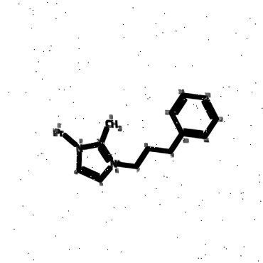 Cc1n(C(C)C)cc[n+]1CCCc1ccccc1